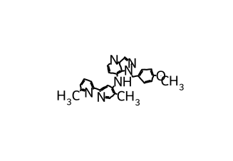 COc1ccc(Cn2ncc3nccc(Nc4cc(-c5cccc(C)n5)ncc4C)c32)cc1